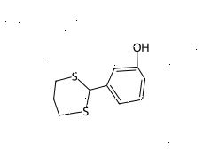 Oc1cccc(C2SCCCS2)c1